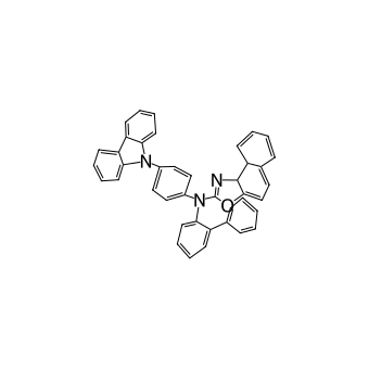 C1=CC2=CC=C3OC(N(c4ccc(-n5c6ccccc6c6ccccc65)cc4)c4ccccc4-c4ccccc4)=NC3C2C=C1